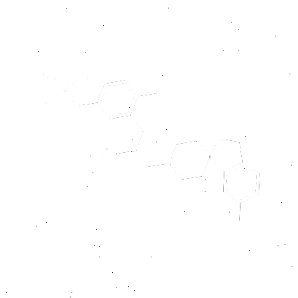 CC(C)(C)[Si](C)(C)Oc1ccc(F)c(CC(CN2CCC3(CC2)OCc2ccc(F)cc23)C(=O)O)c1